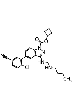 CCCCNCNc1nn(C(=O)OC2CCC2)c2ccc(-c3cc(C#N)ccc3Cl)cc12